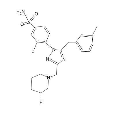 Cc1cccc(Cc2nc(CN3CCCC(F)C3)nn2-c2ccc(S(N)(=O)=O)cc2F)c1